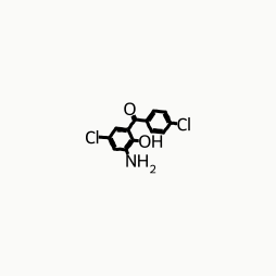 Nc1cc(Cl)cc(C(=O)c2ccc(Cl)cc2)c1O